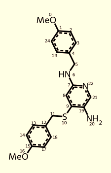 COc1ccc(CNc2cc(SCc3ccc(OC)cc3)c(N)cn2)cc1